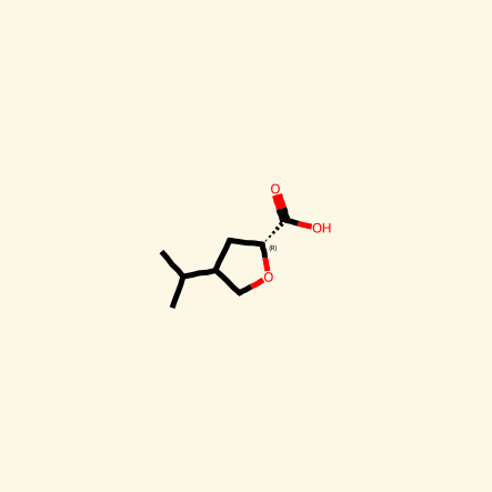 CC(C)C1CO[C@@H](C(=O)O)C1